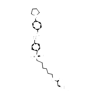 C=CC(=O)OCCCCCCS(=O)(=O)c1ccc(N=Nc2ccc(N3CCCC3)cc2)cc1